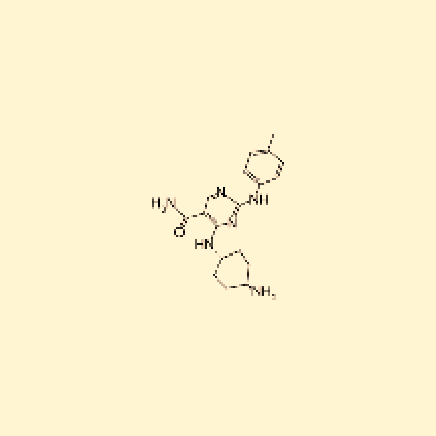 Cc1ccc(Nc2ncc(C(N)=O)c(N[C@H]3CC[C@H](N)CC3)n2)cc1